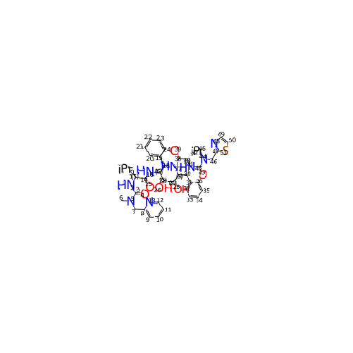 CC(C)[C@H](NC(=O)N(C)Cc1ccccn1)C(=O)N[C@@H](Cc1ccccc1)[C@H](O)[C@@H](O)[C@H](Cc1ccccc1)NC(=O)[C@@H](NC(=O)N(C)Cc1nccs1)C(C)C